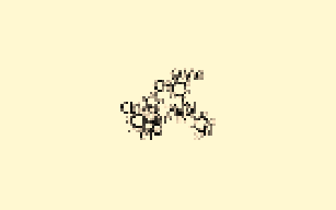 COc1ccc(-c2nc(-c3ccncc3)nn2CCN(C(=O)c2cc(Cl)ccc2Cl)C2CCCC2)cc1Cl